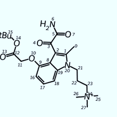 Cc1c(C(=O)C(N)=O)c2c(OCC(=O)OC(C)(C)C)cccc2n1CCC[N+](C)(C)C